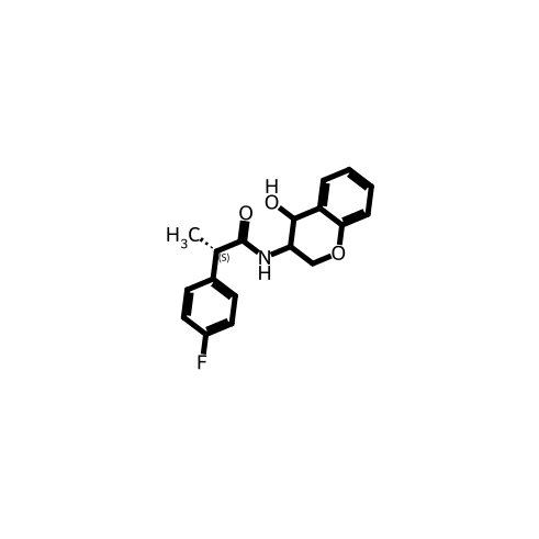 C[C@H](C(=O)NC1COc2ccccc2C1O)c1ccc(F)cc1